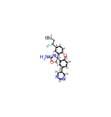 CC(C)(C)C[C@H](F)c1ccc2c(c1)[C@]1(COC(N)=N1)c1cc(-c3cncnc3)ccc1O2